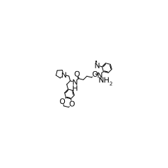 C=Nc1ccccc1N(N)OCCCC(=O)NC(Cc1ccc2c(c1)OCCO2)CN1CCCC1